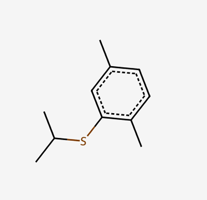 Cc1ccc(C)c(SC(C)C)c1